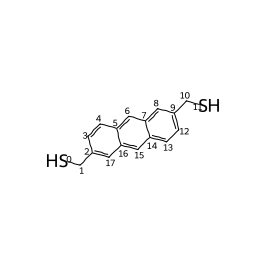 SCc1ccc2cc3cc(CS)ccc3cc2c1